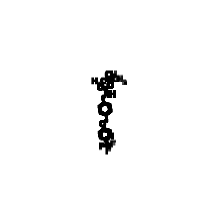 CC(C)(C)OC(=O)NC[C@H]1CC[C@H](COc2ccc(C(F)(F)F)nc2)CC1